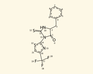 O=C1C(Cc2ccccc2)NC(=S)N1c1nc(C(F)(F)F)cs1